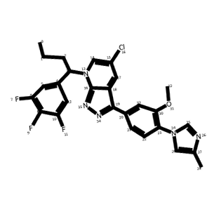 CCCC(c1cc(F)c(F)c(F)c1)n1cc(Cl)cc2c(-c3ccc(-n4cnc(C)c4)c(OC)c3)nnc1-2